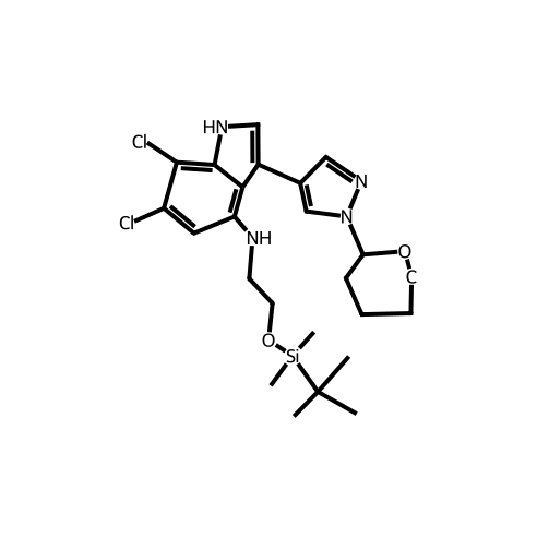 CC(C)(C)[Si](C)(C)OCCNc1cc(Cl)c(Cl)c2[nH]cc(-c3cnn(C4CCCCO4)c3)c12